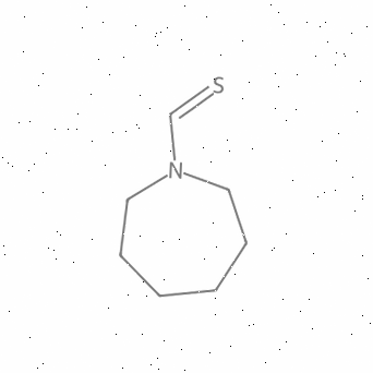 S=CN1CCCCCC1